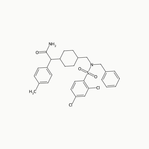 Cc1ccc(C(C(N)=O)C2CCC(CN(Cc3ccccc3)S(=O)(=O)c3ccc(Cl)cc3Cl)CC2)cc1